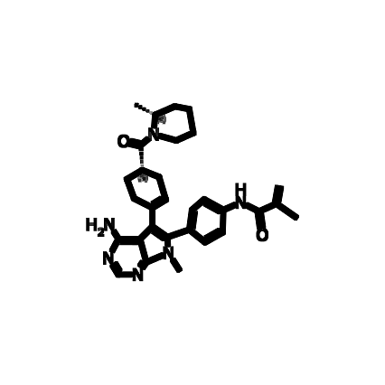 C=C(C)C(=O)Nc1ccc(-c2c(C3=CC[C@@H](C(=O)N4CCCC[C@H]4C)CC3)c3c(N)ncnc3n2C)cc1